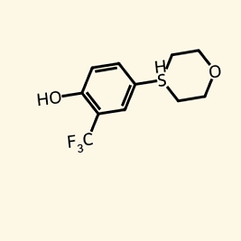 Oc1ccc([SH]2CCOCC2)cc1C(F)(F)F